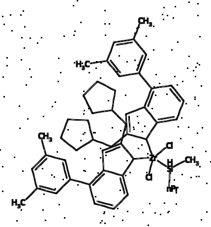 CCC[SiH](C)[Zr]([Cl])([Cl])([CH]1C(CC2CCCC2)=Cc2c(-c3cc(C)cc(C)c3)cccc21)[CH]1C(CC2CCCC2)=Cc2c(-c3cc(C)cc(C)c3)cccc21